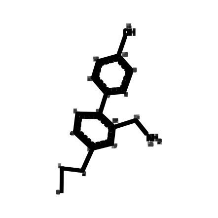 CCCc1ccc(-c2ccc(O)cc2)c(CN)c1